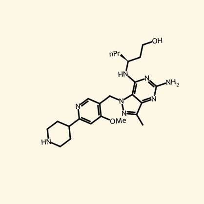 CCC[C@@H](CCO)Nc1nc(N)nc2c(C)nn(Cc3cnc(C4CCNCC4)cc3OC)c12